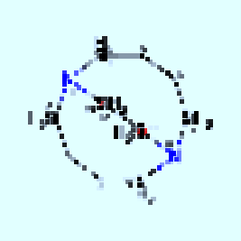 C1C[SiH2]N2[SiH2]CC[SiH2]N([SiH2]1)[SiH2]CC[SiH2]2